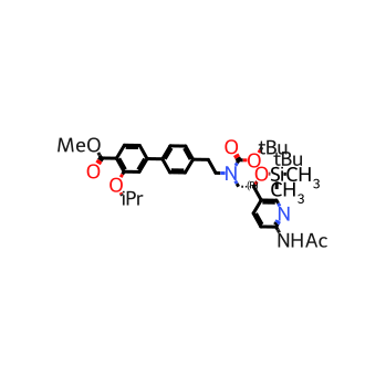 COC(=O)c1ccc(-c2ccc(CCN(C[C@H](O[Si](C)(C)C(C)(C)C)c3ccc(NC(C)=O)nc3)C(=O)OC(C)(C)C)cc2)cc1OC(C)C